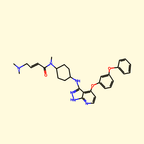 CN(C)CC=CC(=O)N(C)C1CCC(Nc2n[nH]c3nccc(Oc4cccc(Oc5ccccc5)c4)c23)CC1